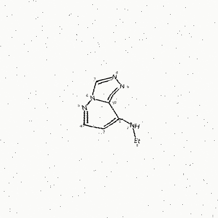 CCNc1c[c]nn2cnnc12